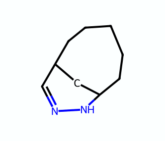 C1=NNC2CCCCCC1C2